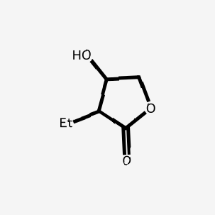 CCC1C(=O)OCC1O